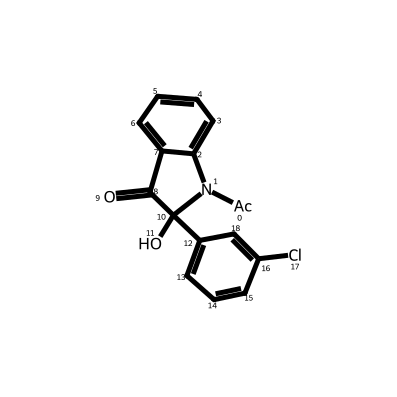 CC(=O)N1c2ccccc2C(=O)C1(O)c1cccc(Cl)c1